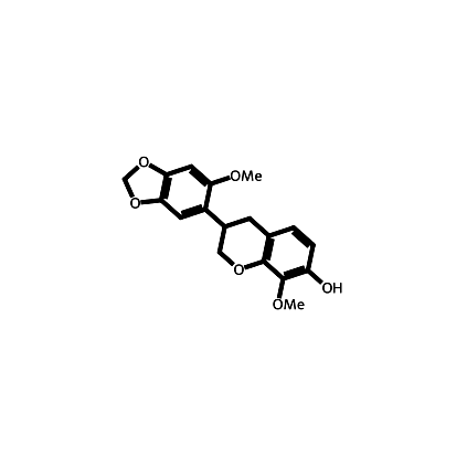 COc1cc2c(cc1C1COc3c(ccc(O)c3OC)C1)OCO2